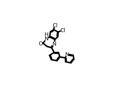 O=C1CC(c2cccc(-c3ccccn3)c2)=Nc2cc(Cl)c(Cl)cc2N1